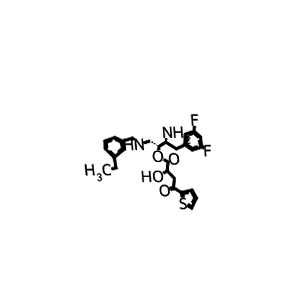 CCc1cccc(CNC[C@@H](OC(=O)C(O)CC(=O)c2cccs2)[C@@H](N)Cc2cc(F)cc(F)c2)c1